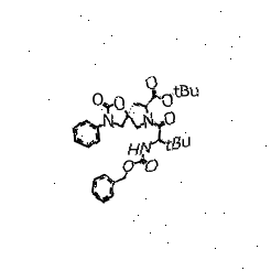 CC(C)(C)OC(=O)[C@@H]1C[C@@]2(CN(c3ccccc3)C(=O)O2)CN1C(=O)C(NC(=O)OCc1ccccc1)C(C)(C)C